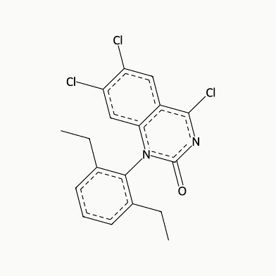 CCc1cccc(CC)c1-n1c(=O)nc(Cl)c2cc(Cl)c(Cl)cc21